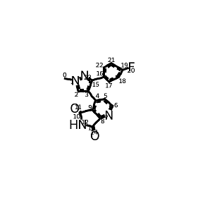 Cn1cc(-c2ccnc3c2C(=O)NC3=O)c(-c2ccc(F)cc2)n1